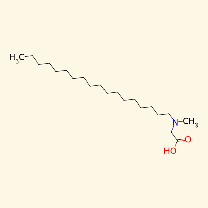 CCCCCCCCCCCCCCCCCCN(C)CC(=O)O